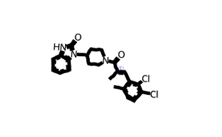 C/C(=C\c1c(C)ccc(Cl)c1Cl)C(=O)N1CCC(n2c(=O)[nH]c3ccccc32)CC1